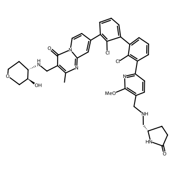 COc1nc(-c2cccc(-c3cccc(-c4ccn5c(=O)c(CN[C@H]6CCOC[C@@H]6O)c(C)nc5c4)c3Cl)c2Cl)ccc1CNC[C@@H]1CCC(=O)N1